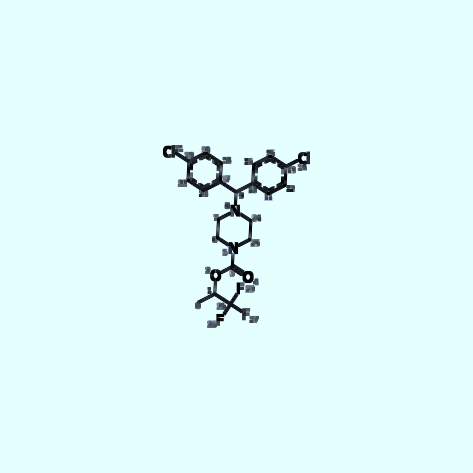 CC(OC(=O)N1CCN(C(c2ccc(Cl)cc2)c2ccc(Cl)cc2)CC1)C(F)(F)F